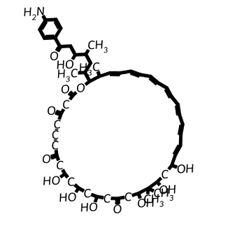 CC1/C=C/C=C/C=C/C=C/C=C/C=C/C=C/C(O)CC(O)C(C)(C)C(O)CC(=O)CC(O)CC(O)CC(O)CC(=O)CCCC(=O)CC(=O)OC1C(C)CC(C)C(O)CC(=O)c1ccc(N)cc1